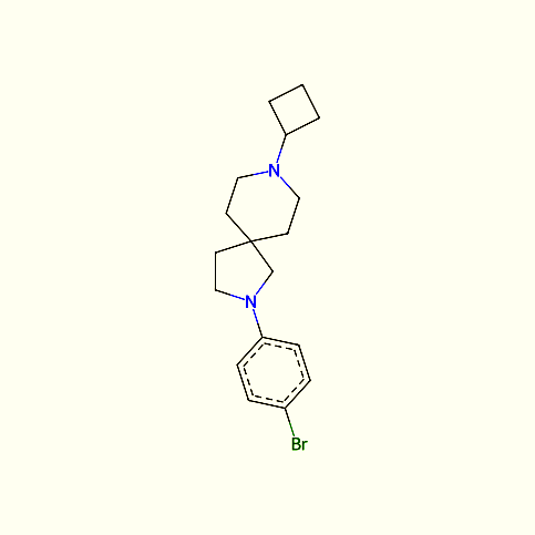 Brc1ccc(N2CCC3(CCN(C4CCC4)CC3)C2)cc1